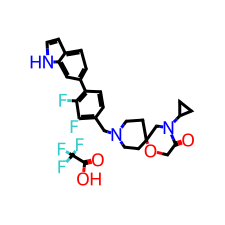 O=C(O)C(F)(F)F.O=C1COC2(CCN(Cc3ccc(-c4ccc5cc[nH]c5c4)c(F)c3F)CC2)CN1C1CC1